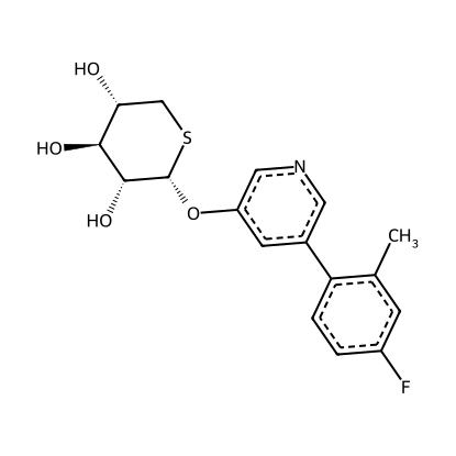 Cc1cc(F)ccc1-c1cncc(O[C@H]2SC[C@@H](O)[C@H](O)[C@H]2O)c1